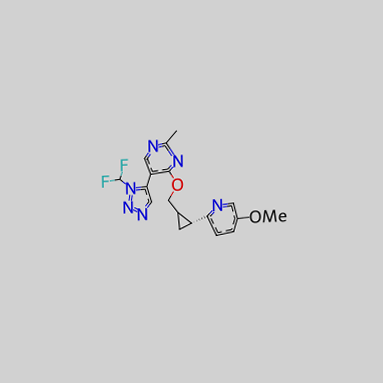 COc1ccc([C@@H]2CC2COc2nc(C)ncc2-c2cnnn2C(F)F)nc1